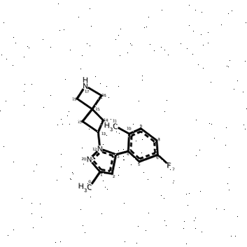 Cc1cc(-c2cc(F)ccc2C)n(C2CC3(CNC3)C2)n1